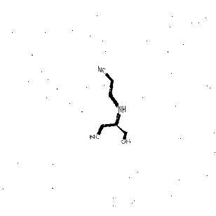 N#CCCN[C@@H](CO)CC#N